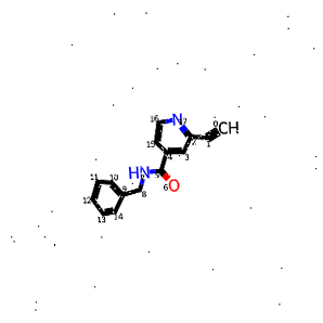 C#Cc1cc(C(=O)NCc2ccccc2)ccn1